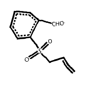 C=CCS(=O)(=O)c1ccccc1[C]=O